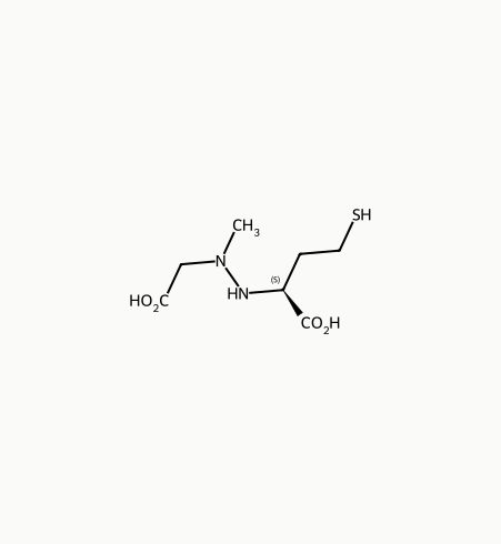 CN(CC(=O)O)N[C@@H](CCS)C(=O)O